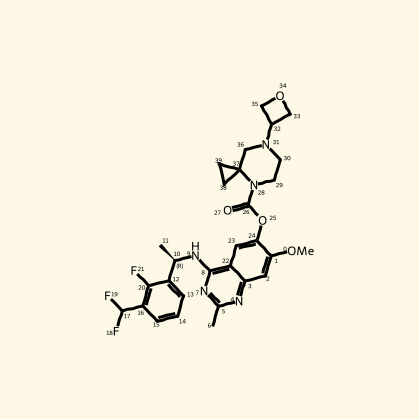 COc1cc2nc(C)nc(N[C@H](C)c3cccc(C(F)F)c3F)c2cc1OC(=O)N1CCN(C2COC2)CC12CC2